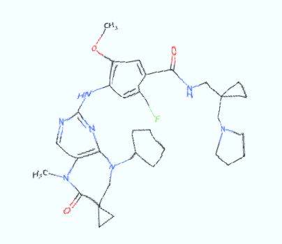 COc1cc(C(=O)NCC2(CN3CCCC3)CC2)c(F)cc1Nc1ncc2c(n1)N(C1CCCC1)CC1(CC1)C(=O)N2C